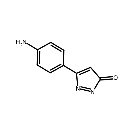 Nc1ccc(C2=CC(=O)N=N2)cc1